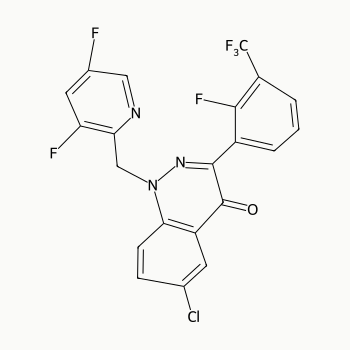 O=c1c(-c2cccc(C(F)(F)F)c2F)nn(Cc2ncc(F)cc2F)c2ccc(Cl)cc12